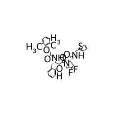 Cc1cccc(C)c1OCC(=O)N[C@@H](Cc1ccccc1)[C@H](O)C(=O)N1CC(F)(F)C[C@H]1C(=O)NCc1cccs1